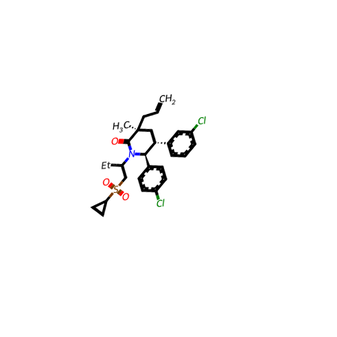 C=CC[C@@]1(C)C[C@H](c2cccc(Cl)c2)[C@@H](c2ccc(Cl)cc2)N(C(CC)CS(=O)(=O)C2CC2)C1=O